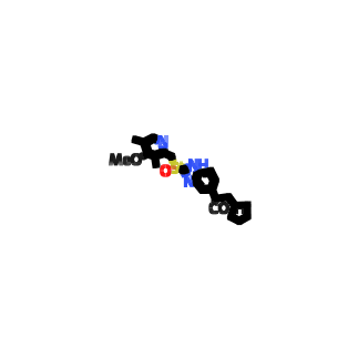 COc1c(C)cnc(C[S+]([O-])c2nc3cc(C(CC4CCCC4)C(=O)O)ccc3[nH]2)c1C